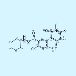 Cn1c(=S)n(C)c(=O)n(-c2cc(C(=O)ONC3CCCCC3)c(Cl)cc2F)c1=O